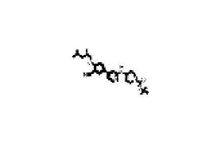 CC(C)C[C@@H](C)COc1ccc(-c2ccnc(NC3CCN(C(=O)OC(C)(C)C)CC3)c2)cc1C#N